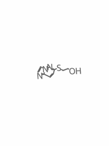 OCCSc1ccc2nccn2n1